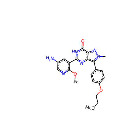 CCOc1ncc(N)cc1-c1nc2c(-c3ccc(OCCOC)cc3)n(C)nc2c(=O)[nH]1